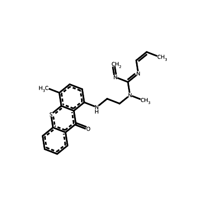 C=N/C(=N\C=C/C)N(C)CCNc1ccc(C)c2sc3ccccc3c(=O)c12